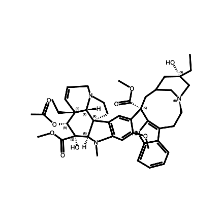 CC[C@]1(O)CC2C[N@](CCc3c([nH]c4ccccc34)[C@@](C(=O)OC)(c3cc4c(cc3OC)N(C)[C@H]3[C@@](O)(C(=O)OC)[C@H](OC(C)=O)[C@]5(CC)C=CCN6CC[C@]43[C@@H]65)C2)C1